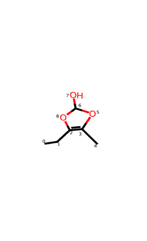 CCC1=C(C)OC(O)O1